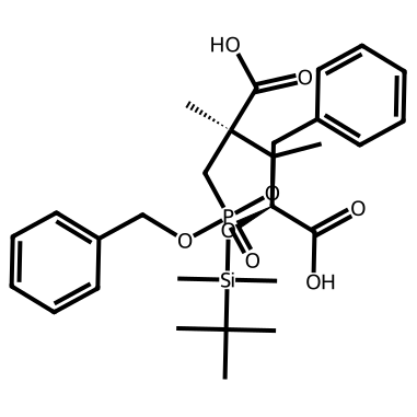 CC([C@H](O[Si](C)(C)C(C)(C)C)C(=O)O)[C@@](C)(CP(=O)(OCc1ccccc1)OCc1ccccc1)C(=O)O